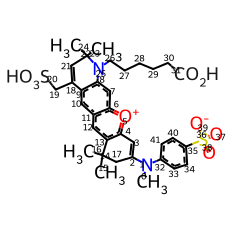 CN(C1=Cc2[o+]c3cc4c(cc3cc2C(C)(C)C1)C(CS(=O)(=O)O)=CC(C)(C)N4CCCCCC(=O)O)c1ccc(S(=O)(=O)[O-])cc1